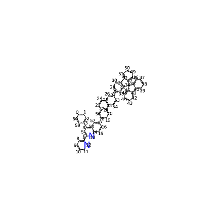 c1ccc(-c2cc(-c3ccccn3)nc3ccc(-c4ccc5c(ccc6cc(-c7ccc8c(c7)C7(c9ccccc9-c9ccccc97)c7ccccc7-8)ccc65)c4)cc23)cc1